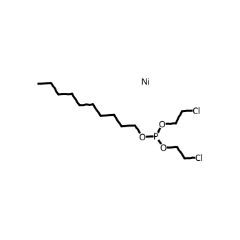 CCCCCCCCCCOP(OCCCl)OCCCl.[Ni]